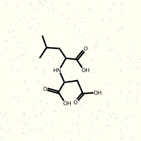 CC(C)CC(NC(CC(=O)O)C(=O)O)C(=O)O